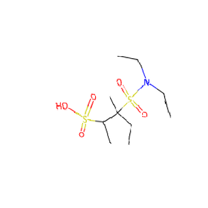 CCN(CC)S(=O)(=O)C(C)(CC)C(C)S(=O)(=O)O